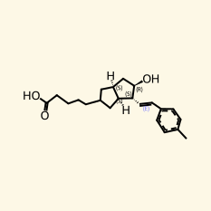 Cc1ccc(/C=C/[C@@H]2[C@H]3CC(CCCCC(=O)O)C[C@H]3C[C@H]2O)cc1